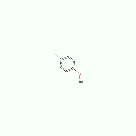 CCC(C)Oc1ccc([S])cc1